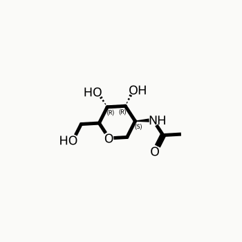 CC(=O)N[C@H]1COC(CO)[C@H](O)[C@@H]1O